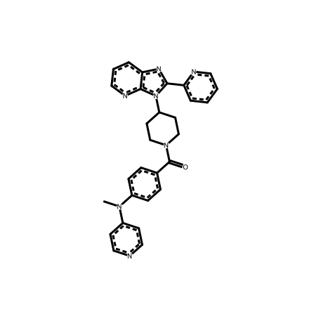 CN(c1ccncc1)c1ccc(C(=O)N2CCC(n3c(-c4ccccn4)nc4cccnc43)CC2)cc1